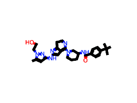 Cc1cc(NC2=CC3=C(N4CCCC(NC(=O)c5ccc(C(C)(C)C)cc5)C4)N=CCC3=N2)nn1CCO